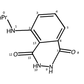 CCCNc1cccc2c(=O)[nH][nH]c(=O)c12